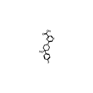 O=C(O)c1cncc(N2CCC(O)(c3ccc(F)cc3)CC2)n1